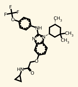 C[C@H]1C[C@@H](n2c(Nc3ccc(OC(F)(F)F)cc3)nc3cc(OCC(=O)NC4CC4)ccc32)CC(C)(C)C1